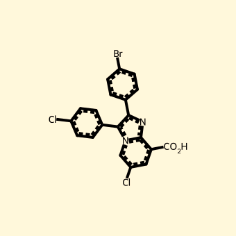 O=C(O)c1cc(Cl)cn2c(-c3ccc(Cl)cc3)c(-c3ccc(Br)cc3)nc12